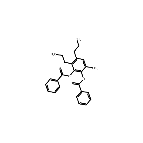 CCCc1cc(C)c(OC(=O)c2ccccc2)c(OC(=O)c2ccccc2)c1CCC